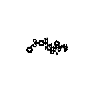 O=C(OCc1ccccc1)c1ccc(Nc2ncc(C(F)(F)F)c(N[C@@H]3CCC[C@@H]3C(=O)NC3CC3)n2)cc1